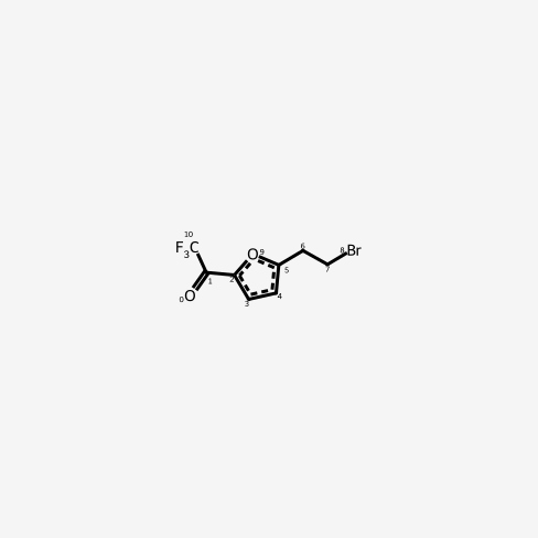 O=C(c1ccc(CCBr)o1)C(F)(F)F